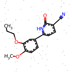 CCCOc1cc(-c2ccc(C#N)c(=O)[nH]2)ccc1OC